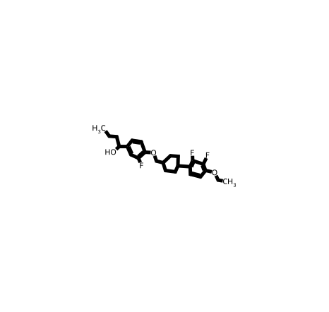 CCCC(O)c1ccc(OCC2CCC(c3ccc(OCC)c(F)c3F)CC2)c(F)c1